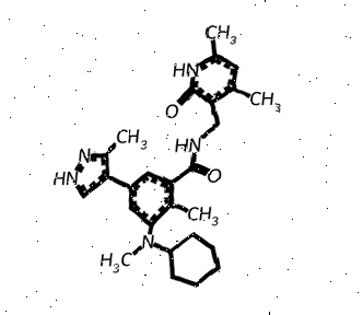 Cc1cc(C)c(CNC(=O)c2cc(-c3c[nH]nc3C)cc(N(C)C3CCCCC3)c2C)c(=O)[nH]1